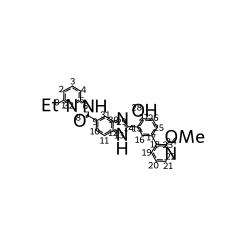 CCc1cccc(NC(=O)c2ccc3[nH]c(-c4cc(-c5cccnc5OC)ccc4O)nc3c2)n1